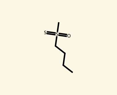 CCCCS(C)(=O)=S